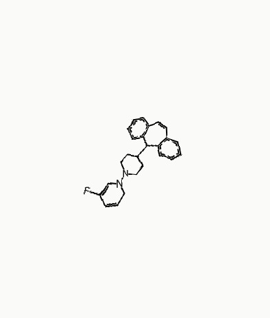 FC1=CN(N2CCC(C3c4ccccc4C=Cc4ccccc43)CC2)CC=C1